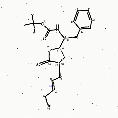 CC(C)(C)OC(=O)N[C@@H](Cc1ccccc1)[C@@H]1C[C@@H](C/C=C/CBr)C(=O)O1